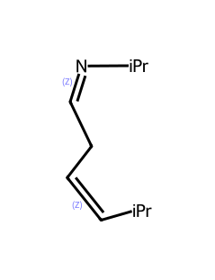 CC(C)/C=C\C/C=N\C(C)C